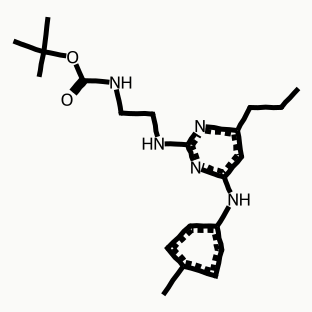 CCCc1cc(Nc2ccc(C)cc2)nc(NCCNC(=O)OC(C)(C)C)n1